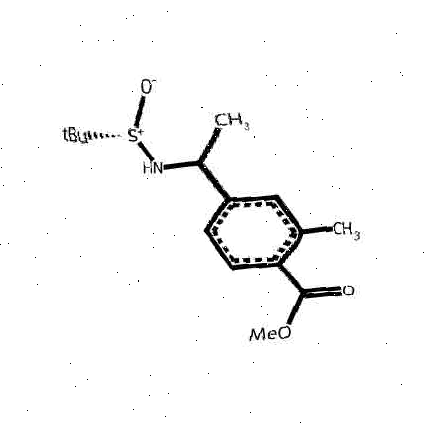 COC(=O)c1ccc(C(C)N[S@@+]([O-])C(C)(C)C)cc1C